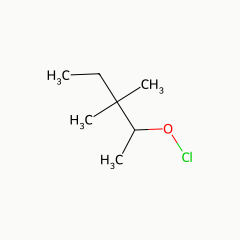 CCC(C)(C)C(C)OCl